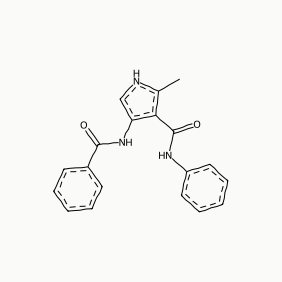 Cc1[nH]cc(NC(=O)c2ccccc2)c1C(=O)Nc1ccccc1